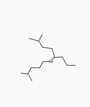 CCCC(CCN(C)C)NCCCN(C)C